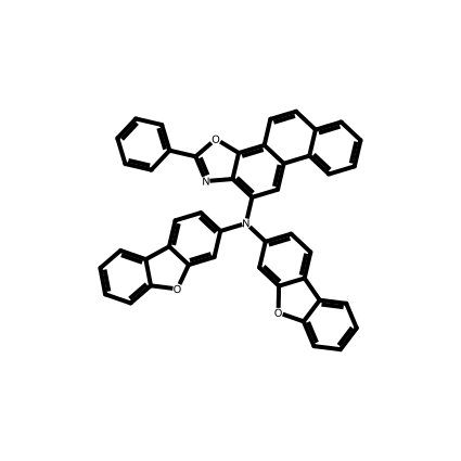 c1ccc(-c2nc3c(N(c4ccc5c(c4)oc4ccccc45)c4ccc5c(c4)oc4ccccc45)cc4c5ccccc5ccc4c3o2)cc1